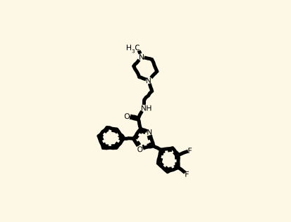 CN1CCN(CCNC(=O)c2nc(-c3ccc(F)c(F)c3)oc2-c2ccccc2)CC1